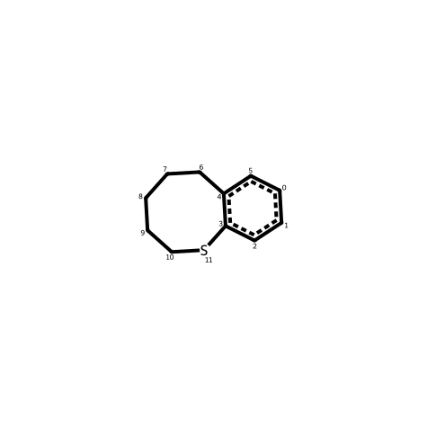 c1ccc2c(c1)CCCCCS2